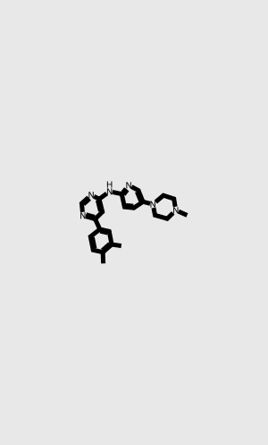 Cc1ccc(-c2cc(Nc3ccc(N4CCN(C)CC4)cn3)ncn2)cc1C